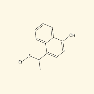 CCSC(C)c1ccc(O)c2ccccc12